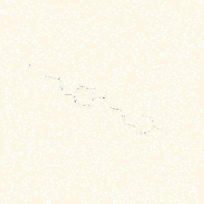 COc1ccc(/C=N/NC(=O)c2ccc(/C=C/C(=O)NO)cc2)cc1